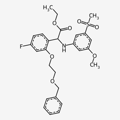 CCOC(=O)C(Nc1cc(OC)cc(S(C)(=O)=O)c1)c1ccc(F)cc1OCCOCc1ccccc1